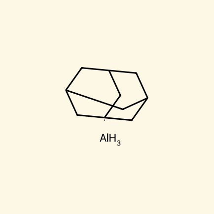 C1[C]2CC3CC1CC(C2)C3.[AlH3]